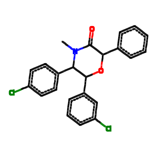 CN1C(=O)C(c2ccccc2)OC(c2cccc(Cl)c2)C1c1ccc(Cl)cc1